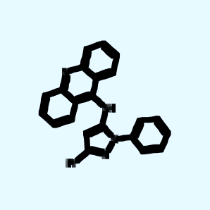 CC(C)c1cc(Nc2c3ccccc3nc3ccccc23)n(-c2ccccc2)n1